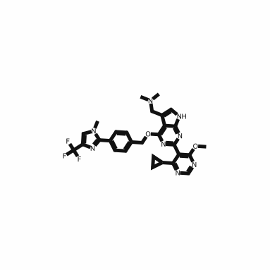 COc1ncnc(C2CC2)c1-c1nc(OCc2ccc(-c3nc(C(F)(F)F)cn3C)cc2)c2c(CN(C)C)c[nH]c2n1